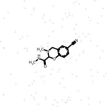 CNC(=O)C1Oc2ccc(C#N)cc2CN1C